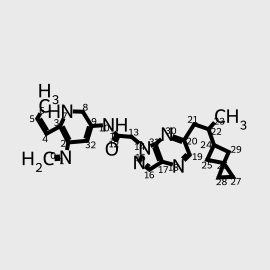 C=NC1=C(/C=C\C)NCC(NC(=O)Cn2ncc3ncc(CC(C)C4CC5(CC5)C4)nc32)=C1